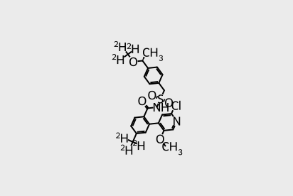 [2H]C([2H])([2H])O[C@@H](C)c1ccc(CS(=O)(=O)NC(=O)c2ccc(C([2H])([2H])[2H])cc2-c2cc(Cl)ncc2OC)cc1